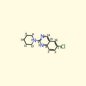 Clc1ccc2nc(N3C[CH]CCC3)ncc2c1